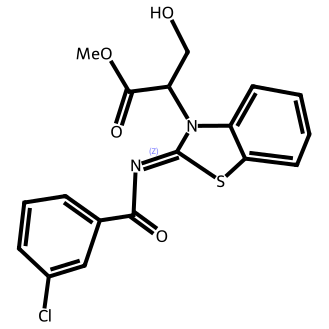 COC(=O)C(CO)n1/c(=N/C(=O)c2cccc(Cl)c2)sc2ccccc21